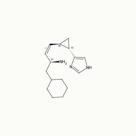 N[C@H](/C=C\[C@H]1C[C@@H]1c1c[nH]cn1)CC1CCCCC1